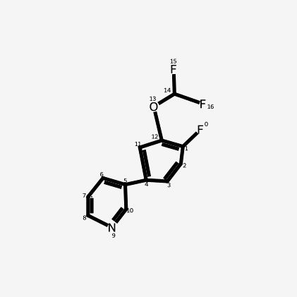 Fc1ccc(-c2c[c]cnc2)cc1OC(F)F